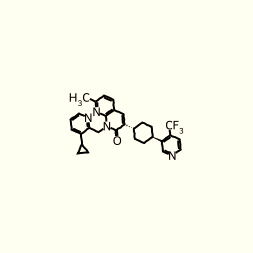 Cc1ccc2cc([C@H]3CC[C@H](c4cnccc4C(F)(F)F)CC3)c(=O)n(Cc3ncccc3C3CC3)c2n1